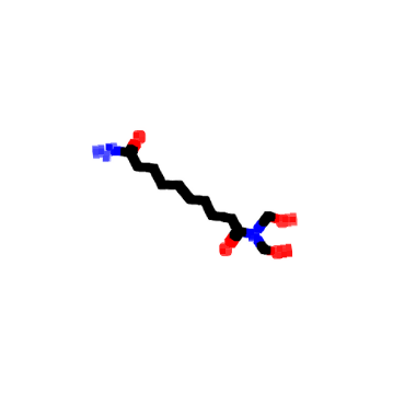 NC(=O)CCCCCCCCC(=O)N(CO)CO